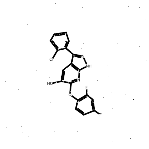 Oc1cc2c(-c3ccccc3Cl)n[nH]c2nc1Oc1ccc(F)cc1F